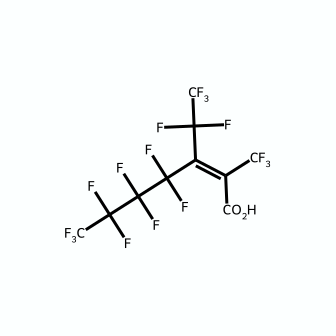 O=C(O)C(=C(C(F)(F)C(F)(F)F)C(F)(F)C(F)(F)C(F)(F)C(F)(F)F)C(F)(F)F